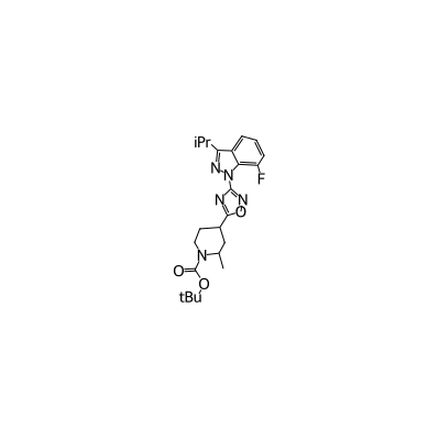 CC(C)c1nn(-c2noc(C3CCN(C(=O)OC(C)(C)C)C(C)C3)n2)c2c(F)cccc12